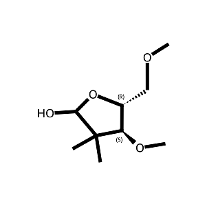 COC[C@H]1OC(O)C(C)(C)[C@@H]1OC